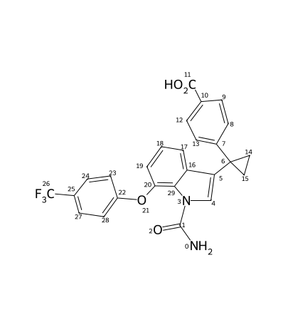 NC(=O)n1cc(C2(c3ccc(C(=O)O)cc3)CC2)c2cccc(Oc3ccc(C(F)(F)F)cc3)c21